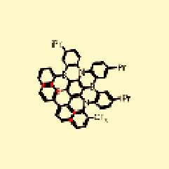 CC(C)c1ccc2c(c1)B1c3ccccc3Sc3c1c1c4c(c3-c3ccccc3-c3ccccc3)N(c3ccccc3C(F)(F)F)c3ccc(C(C)C)cc3B4c3cc(C(C)C)ccc3N21